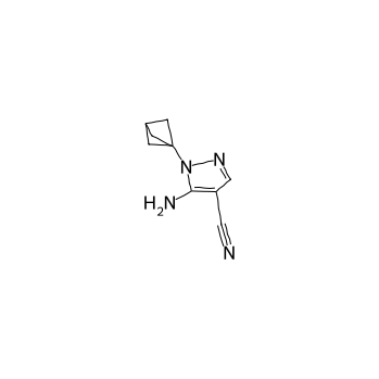 N#Cc1cnn(C23CC(C2)C3)c1N